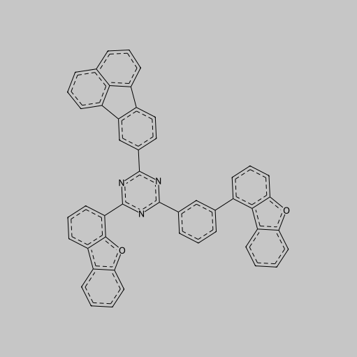 c1cc(-c2nc(-c3ccc4c(c3)-c3cccc5cccc-4c35)nc(-c3cccc4c3oc3ccccc34)n2)cc(-c2cccc3oc4ccccc4c23)c1